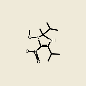 CON1C([N+](=O)[O-])=C(C(C)C)NC1(C)C(C)C